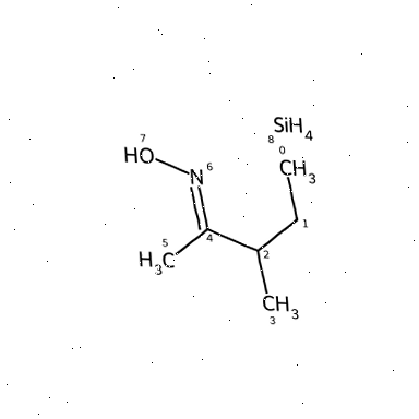 CCC(C)C(C)=NO.[SiH4]